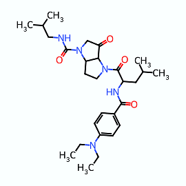 CCN(CC)c1ccc(C(=O)NC(CC(C)C)C(=O)N2CCC3C2C(=O)CN3C(=O)NCC(C)C)cc1